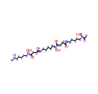 CNCCCCCN(O)C(=O)CCC(=O)NCCCCCN(O)C(=O)CCC(=O)NCCCCCN(O)C(C)=O